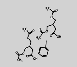 CC(=O)OCC(COC(C)=O)CC(=O)O.CC(=O)OCC(COC(C)=O)CC(=O)O.Ic1ccccc1